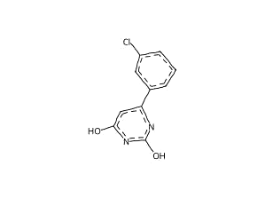 Oc1cc(-c2cccc(Cl)c2)nc(O)n1